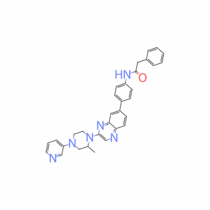 CC1CN(c2cccnc2)CCN1c1cnc2ccc(-c3ccc(NC(=O)Cc4ccccc4)cc3)cc2n1